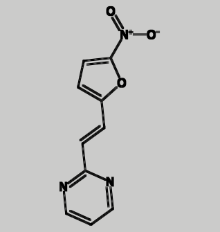 O=[N+]([O-])c1ccc(C=Cc2ncccn2)o1